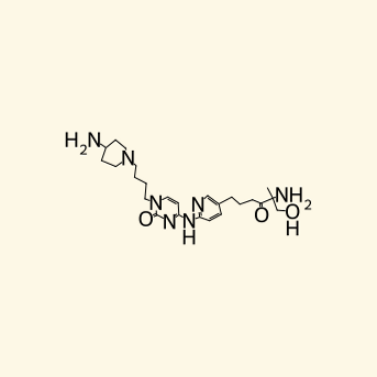 CC(N)(CO)C(=O)CCCc1ccc(Nc2ccn(CCCCN3CCC(N)CC3)c(=O)n2)nc1